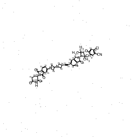 CC1(C)[C@H](Oc2ccc(C#N)c(Cl)c2)C(C)(C)[C@H]1N1Cc2cc(C#CC3CN(C4CN(c5ccc6c(c5)C(=O)N(C5CCC(=O)NC5=O)C6=O)C4)C3)cnc2C1=O